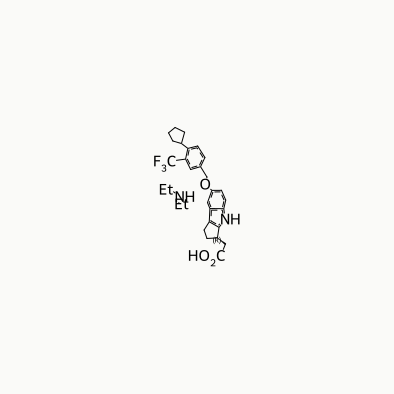 CCNCC.O=C(O)C[C@H]1CCc2c1[nH]c1ccc(OCc3ccc(C4CCCC4)c(C(F)(F)F)c3)cc21